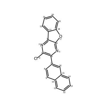 Clc1nc2c(nc1-c1ccc3ccccc3c1)oc1ccccc12